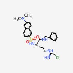 CN(C)c1ccc2cc(S(=O)(=O)N[C@@H](CCCNC(=N)CCl)C(=O)NCc3ccccc3)ccc2c1